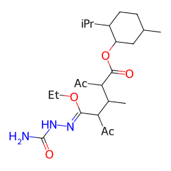 CCO/C(=N\NC(N)=O)C(C(C)=O)C(C)C(C(C)=O)C(=O)OC1CC(C)CCC1C(C)C